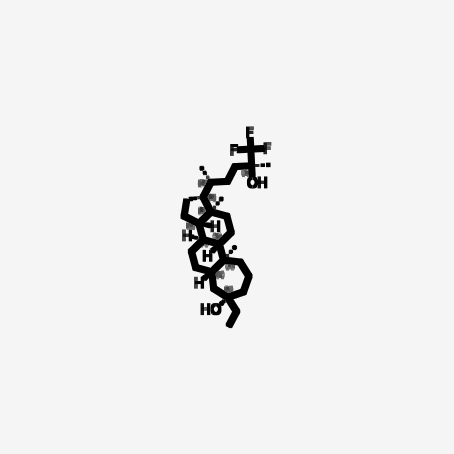 CC[C@]1(O)CCC[C@@]2(C)[C@@H](CC[C@@H]3[C@@H]2CC[C@]2(C)[C@@H]([C@H](C)CC[C@](C)(O)C(F)(F)F)CC[C@@H]32)C1